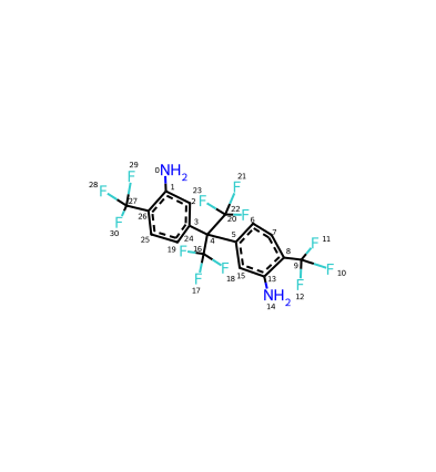 Nc1cc(C(c2ccc(C(F)(F)F)c(N)c2)(C(F)(F)F)C(F)(F)F)ccc1C(F)(F)F